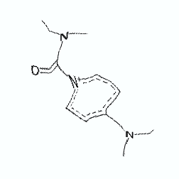 CN(C)C(=O)[n+]1ccc(N(C)C)cc1